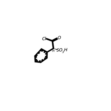 O=C(Cl)[C@@H](c1ccccc1)S(=O)(=O)O